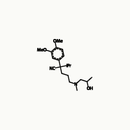 COc1ccc(C(C#N)(CCCN(C)CC(C)O)C(C)C)cc1OC